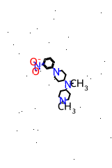 CN1CCC(N(C)C2CCN(c3cccc([N+](=O)[O-])c3)CC2)CC1